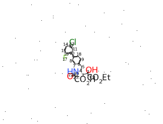 CCOC(=O)[C@H](O)C[C@@H](Cc1ccc(-c2cc(Cl)ccc2F)cc1)NC(=O)C(=O)O